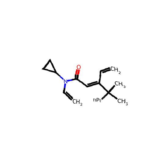 C=C/C(=C\C(=O)N(C=C)C1CC1)C(C)(C)CCC